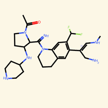 CN/C=C(\CN)c1cc2c(cc1C(F)F)N(C(=N)C1C(NC3CCNCC3)CCN1C(C)=O)CCC2